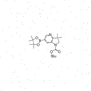 CC(C)(C)OC(=O)N1CC(C)(C)c2ncc(B3OC(C)(C)C(C)(C)O3)cc21